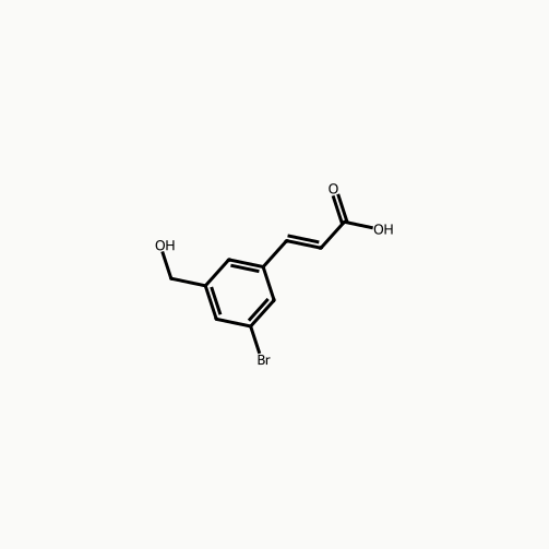 O=C(O)/C=C/c1cc(Br)cc(CO)c1